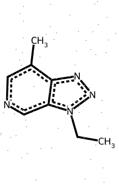 CCn1nnc2c(C)cncc21